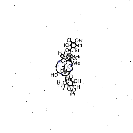 CCc1c(Cl)c(O)c(Cl)c(O)c1C(=O)O[C@H]1[C@H](O)[C@H](OC)[C@H](OC/C2=C\C=C\CC(O)/C(C)=C/C(CC)C(O[C@@H]3OC(C)(C)[C@@H](OC(=O)C(C)C)[C@H](O)[C@@H]3O)/C(C)=C/C(C)=C/CC(C(C)O)OC2=O)O[C@@H]1C